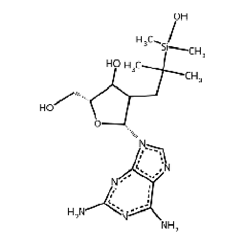 CC(C)(CC1C(O)[C@@H](CO)O[C@H]1n1cnc2c(N)nc(N)nc21)[Si](C)(C)O